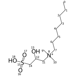 CCCCCCCC[N+](C)(C)CC(O)CS(=O)(=O)O